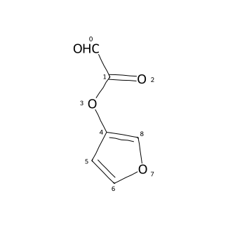 O=CC(=O)Oc1ccoc1